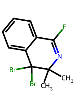 CC1(C)N=C(F)c2ccccc2C1(Br)Br